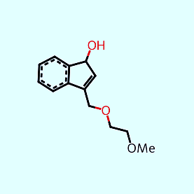 COCCOCC1=CC(O)c2ccccc21